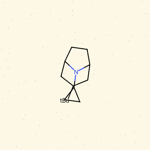 CC(C)(C)C1CC2CCC(C1)N2C1CC1